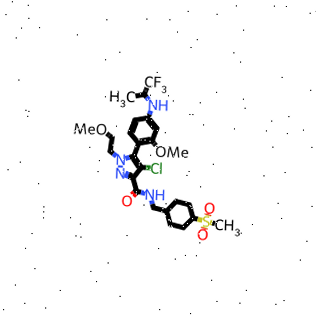 COCCn1nc(C(=O)NCC2CCC(S(C)(=O)=O)CC2)c(Cl)c1-c1ccc(NC(C)C(F)(F)F)cc1OC